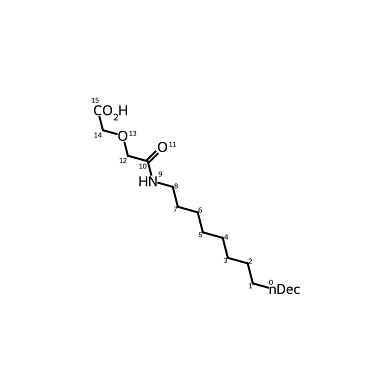 CCCCCCCCCCCCCCCCCCNC(=O)COCC(=O)O